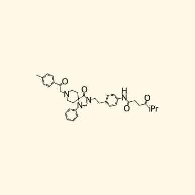 Cc1ccc(C(=O)CN2CCC3(CC2)C(=O)N(CCc2ccc(NC(=O)CCC(=O)C(C)C)cc2)CN3c2ccccc2)cc1